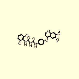 COc1cc2nccc(Oc3ccc(NC(=O)NC(=O)Nc4c(Cl)cccc4Cl)cc3)c2cc1OC